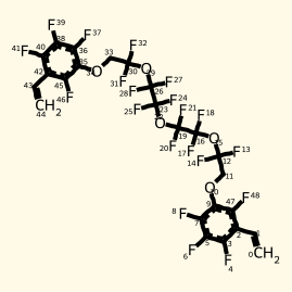 C=Cc1c(F)c(F)c(F)c(OCC(F)(F)OC(F)(F)C(F)(F)OC(F)(F)C(F)(F)OC(F)(F)COc2c(F)c(F)c(F)c(C=C)c2F)c1F